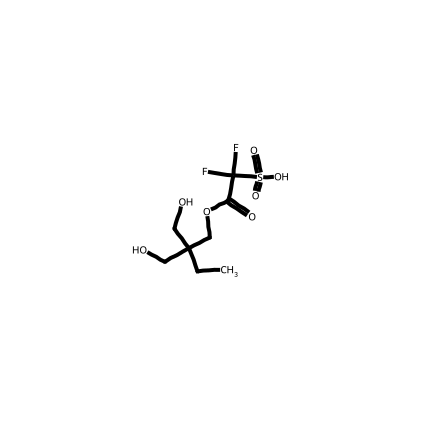 CCC(CO)(CO)COC(=O)C(F)(F)S(=O)(=O)O